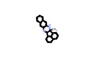 CC12Nc3cc4ccccc4cc3N=C1c1cccc3cccc2c13